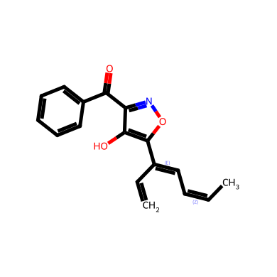 C=C/C(=C\C=C/C)c1onc(C(=O)c2ccccc2)c1O